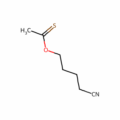 CC(=S)OCCCCC#N